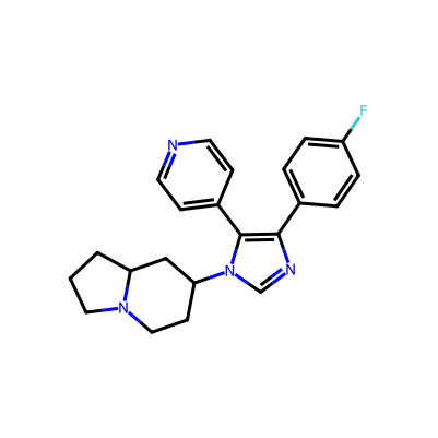 Fc1ccc(-c2ncn(C3CCN4CCCC4C3)c2-c2ccncc2)cc1